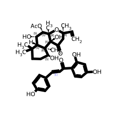 C=C[C@@]1(C)CC(=O)[C@]2(O)[C@@]3(C)[C@@H](O)CCC(C)(C)[C@@H]3[C@H](O)[C@H](OC(C)=O)[C@@]2(C)O1.O=C(/C=C/c1ccc(O)cc1)c1ccc(O)cc1O